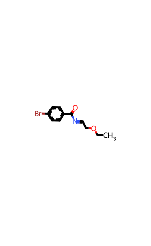 CCOCC=NC(=O)c1ccc(Br)cc1